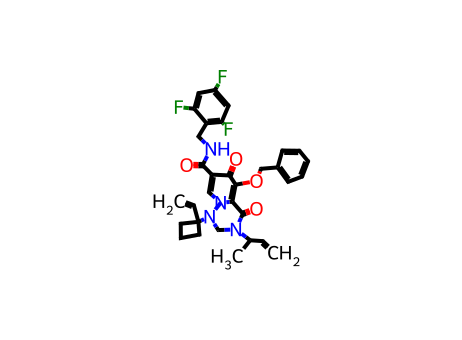 C=CC(C)N1CN(C2(C=C)CCC2)n2cc(C(=O)NCc3c(F)cc(F)cc3F)c(=O)c(OCc3ccccc3)c2C1=O